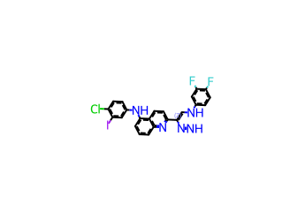 N=N/C(=C\Nc1ccc(F)c(F)c1)c1ccc2c(Nc3ccc(Cl)c(I)c3)cccc2n1